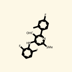 CSc1cc(Nc2c(F)cccc2F)c(C=O)c(-c2ccc(F)cc2C)n1